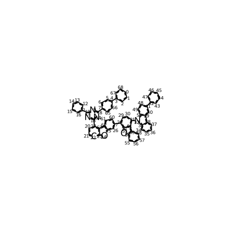 c1ccc(-c2ccc(-c3nc(-c4ccccc4)nc(-c4cccc5oc6cc(-c7ccc(-n8c9ccccc9c9cc(-c%10ccccc%10)ccc98)c8c7oc7ccccc78)ccc6c45)n3)cc2)cc1